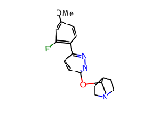 COc1ccc(-c2ccc(OC3CN4CCC3CC4)nn2)c(F)c1